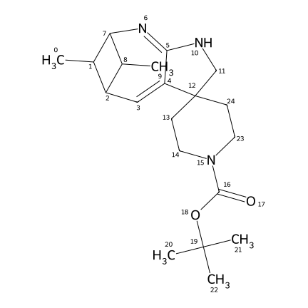 CC1C2C=C3C(=NC1C2C)NCC31CCN(C(=O)OC(C)(C)C)CC1